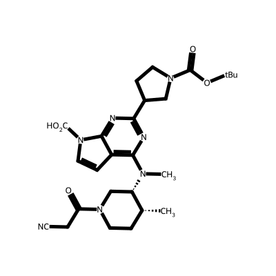 C[C@@H]1CCN(C(=O)CC#N)C[C@@H]1N(C)c1nc(C2CCN(C(=O)OC(C)(C)C)C2)nc2c1ccn2C(=O)O